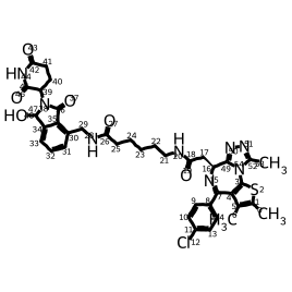 Cc1sc2c(c1C)C(c1ccc(Cl)cc1)=N[C@@H](CC(=O)NCCCCCC(=O)NCc1cccc3c1C(=O)N(C1CCC(=O)NC1=O)C3O)c1nnc(C)n1-2